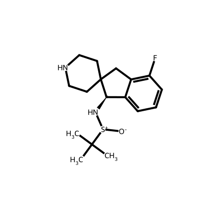 CC(C)(C)[S+]([O-])N[C@@H]1c2cccc(F)c2CC12CCNCC2